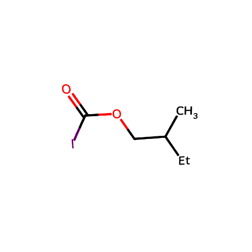 CCC(C)COC(=O)I